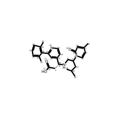 Cc1ccn(C(CN[C@H](CC(=O)O)c2ccnc(-c3c(C)cccc3C)c2)CC(C)C)c(=O)c1